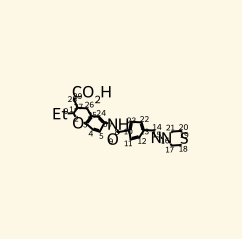 CCC1Oc2ccc(NC(=O)c3ccc(C=NN4CCSCC4)cc3)cc2CC1CC(=O)O